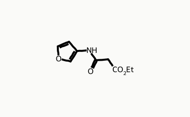 CCOC(=O)CC(=O)Nc1ccoc1